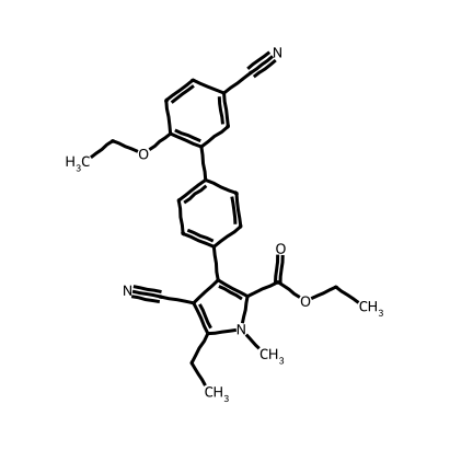 CCOC(=O)c1c(-c2ccc(-c3cc(C#N)ccc3OCC)cc2)c(C#N)c(CC)n1C